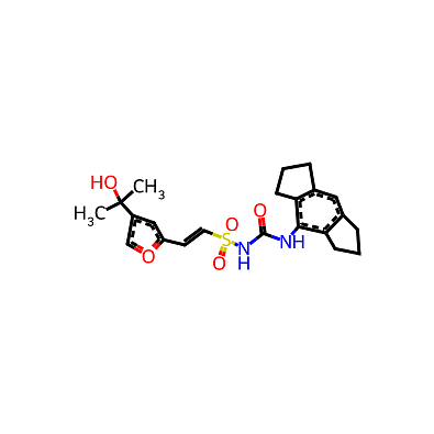 CC(C)(O)c1coc(/C=C/S(=O)(=O)NC(=O)Nc2c3c(cc4c2CCC4)CCC3)c1